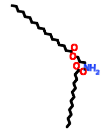 CCCCCCCCCCCCCCCCCC(=O)OCC(CN)OC(=O)CCCCCCCCCCCCC